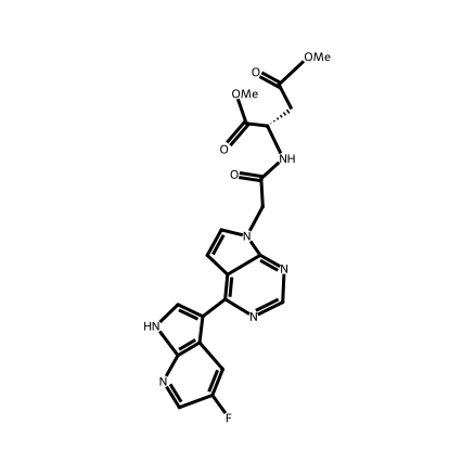 COC(=O)C[C@H](NC(=O)Cn1ccc2c(-c3c[nH]c4ncc(F)cc34)ncnc21)C(=O)OC